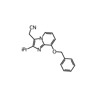 CC(C)c1nc2c(OCc3ccccc3)cccn2c1CC#N